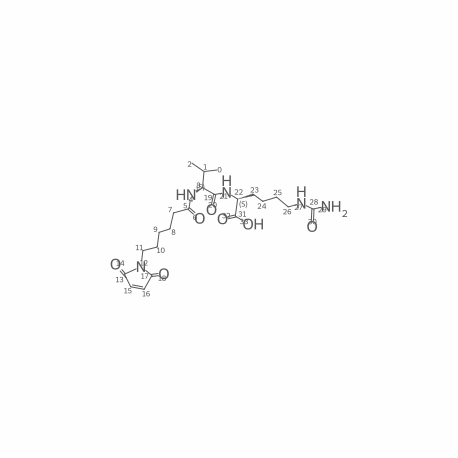 CC(C)[C@H](NC(=O)CCCCCN1C(=O)C=CC1=O)C(=O)N[C@@H](CCCCNC(N)=O)C(=O)O